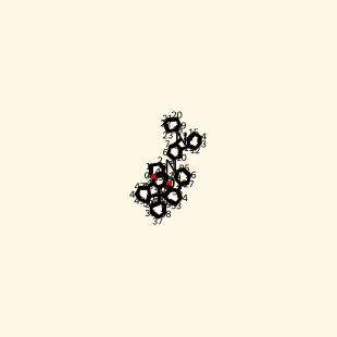 c1ccc(N(c2ccc3c(c2)c2ccccc2n3-c2ccccc2)c2cccc3c2oc2c(C4(c5ccccc5)c5ccccc5-c5ccccc54)cccc23)cc1